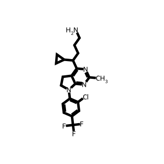 Cc1nc(C(CCCN)C2CC2)c2c(n1)N(c1ccc(C(F)(F)F)cc1Cl)CC2